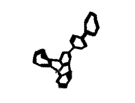 c1ccc(-c2ccc(-c3cc4c5ccccc5n5c6ccccc6c(c3)c45)cc2)cc1